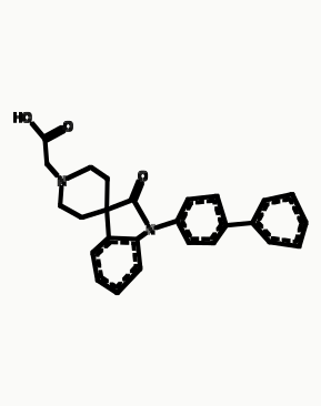 O=C(O)CN1CCC2(CC1)C(=O)N(c1ccc(-c3ccccc3)cc1)c1ccccc12